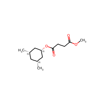 COC(=O)CCC(=O)O[C@@H]1C[C@H](C)C[C@H](C)C1